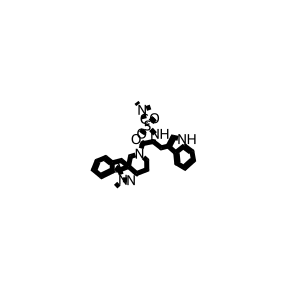 CN(C)CS(=O)(=O)NC(Cc1c[nH]c2ccccc12)C(=O)N1CCC2=NN(C)C(=O)C2(Cc2ccccc2)C1